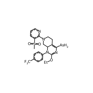 CCOC1=NC([AsH2])=C2CCN(c3ncccc3S(C)(=O)=O)CC2N1c1ccc(C(F)(F)F)cc1